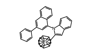 c1ccc(-c2cc(-n3c([C]45[CH]6[CH]7[CH]8[CH]4[Fe]786549%10%11[CH]5[CH]4[CH]9[CH]%10[CH]5%11)cc4ccccc43)c3ccccc3c2)cc1